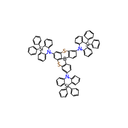 c1ccc([Si]2(c3ccccc3)c3ccccc3N(c3ccc4c(c3)Sc3cc(N5c6ccccc6[Si](c6ccccc6)(c6ccccc6)c6ccccc65)cc5c3B4c3ccc(N4c6ccccc6[Si](c6ccccc6)(c6ccccc6)c6ccccc64)cc3S5)c3ccccc32)cc1